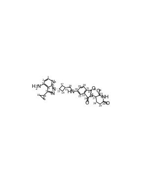 Nc1ccnc2c1c(C1CC1)nn2[C@H]1C[C@H](CNc2ccc3c(c2)C(=O)N(C2CCC(=O)NC2=O)C3=O)C1